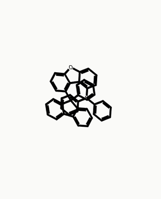 c1ccc(N(c2ccccc2)c2cccc3oc4cccc(C5(c6ccccc6)c6ccccc6-c6ccccc65)c4c23)cc1